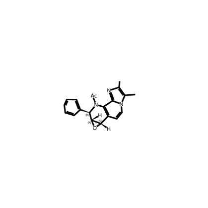 CC(=O)N1c2c(ccn3c(C)c(C)nc23)[C@@H]2O[C@@H]2[C@H]1c1ccccc1